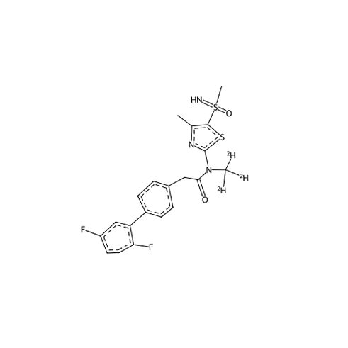 [2H]C([2H])([2H])N(C(=O)Cc1ccc(-c2cc(F)ccc2F)cc1)c1nc(C)c(S(C)(=N)=O)s1